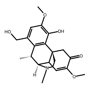 COC1=CC2[C@@H]3[C@H](C)c4c(CO)cc(OC)c(O)c4[C@]2(CCN3C)CC1=O